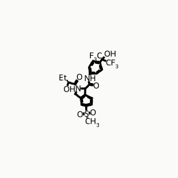 CC[C@H](O)C(=O)N1Cc2cc(S(C)(=O)=O)ccc2C1C(=O)Nc1ccc(C(O)(C(F)(F)F)C(F)(F)F)cc1